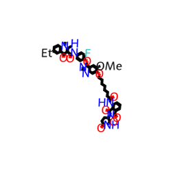 CCc1ccc2c(c1)c(=O)c(C(=O)Nc1ccc(Oc3ncnc4cc(OCCCCCCCC(=O)Nc5cccc6c5C(=O)N(C5CCC(=O)NC5=O)C6=O)c(OC)cc34)c(F)c1)c(C)n2C